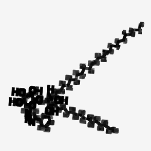 CCCCCCCCCCCCCCCCCCCCCCCCCCN[C@@H](CO[C@H]1O[C@H](Cn2cc(-c3ccccc3)nn2)[C@H](O)[C@H](O)[C@H]1O)[C@H](O)[C@H](O)CCCCCCCCCCCCCC